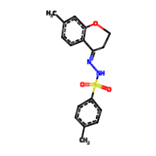 Cc1ccc(S(=O)(=O)NN=C2CCOc3cc(C)ccc32)cc1